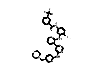 Cc1ccc(NC(=O)c2cccc(C(F)(F)F)c2)cc1Nc1ncccc1-c1cc(Nc2ccc(CN3CCOCC3)cn2)ncn1